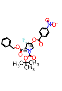 CC(C)(C)OC(=O)N1C[C@H](OC(=O)c2ccc([N+](=O)[O-])cc2)[C@@H](F)[C@H]1C(=O)OCc1ccccc1